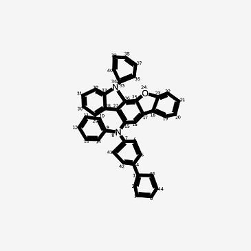 c1ccc(-c2ccc(N(c3ccccc3)c3cc4c5ccccc5oc4c4c3c3ccccc3n4-c3ccccc3)cc2)cc1